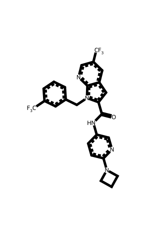 O=C(Nc1ccc(N2CCC2)nc1)c1cc2cc(C(F)(F)F)cnc2n1Cc1cccc(C(F)(F)F)c1